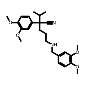 COc1ccc(CNCCCC(C#N)(c2ccc(OC)c(OC)c2)C(C)C)cc1OC